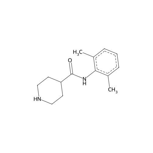 Cc1cccc(C)c1NC(=O)C1CCNCC1